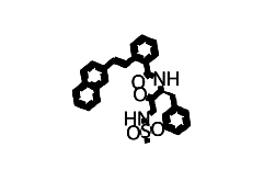 CS(=O)(=O)NCC(=O)[C@H](Cc1ccccc1)NC(=O)c1ccccc1C=Cc1ccc2ccccc2c1